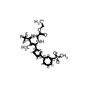 CCOC(=O)CN/C(=C(/C)C(=N)C(F)(F)F)c1ccc(-c2cccc(S(C)(=O)=O)c2)s1